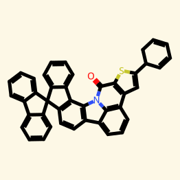 O=c1c2sc(C3C=CC=CC3)cc2c2cccc3c4ccc5c(c4n1c23)-c1ccccc1C51c2ccccc2-c2ccccc21